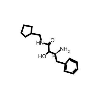 N[C@@H](Cc1ccccc1)C(O)C(=O)NCC1CCCC1